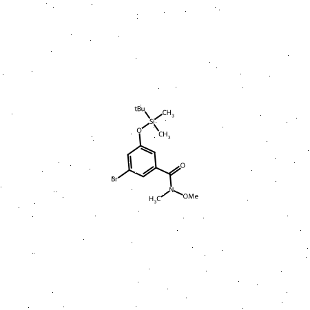 CON(C)C(=O)c1cc(Br)cc(O[Si](C)(C)C(C)(C)C)c1